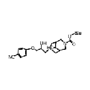 CC(C)(C)OC(=O)N1CC2CN(CC(O)COc3ccc(C#N)cc3)CC(C1)C2O